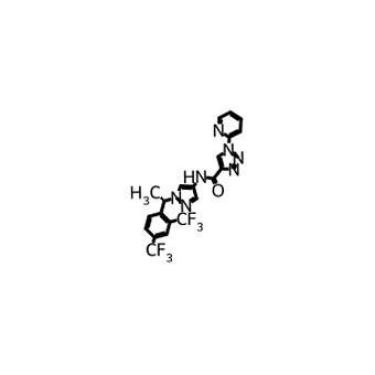 C[C@H](c1ccc(C(F)(F)F)cc1C(F)(F)F)n1cc(NC(=O)c2cn(-c3ccccn3)nn2)cn1